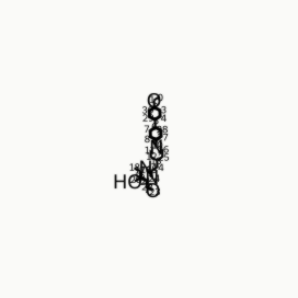 COc1ccc(-c2ccc(N3CCC(Cc4nc(C)c(O)c([C]=O)n4)CC3)cc2)cc1